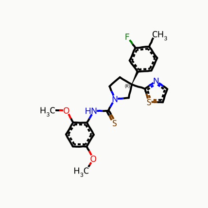 COc1ccc(OC)c(NC(=S)N2CC[C@](c3ccc(C)c(F)c3)(c3nccs3)C2)c1